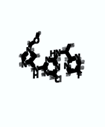 COCn1cnc(Nc2nc(Cl)nc(NC(C)c3ncc(F)cn3)n2)c1